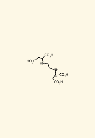 O=C(O)CC(NCCN[C@@H](CC(=O)O)C(=O)O)C(=O)O